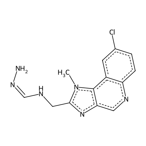 Cn1c(CN/C=N\N)nc2cnc3ccc(Cl)cc3c21